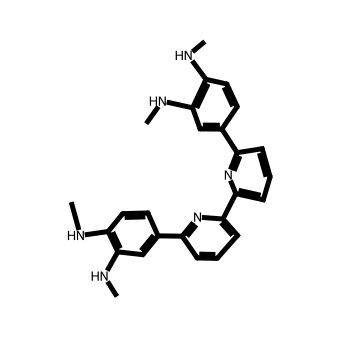 CNc1ccc(-c2cccc(-c3cccc(-c4ccc(NC)c(NC)c4)n3)n2)cc1NC